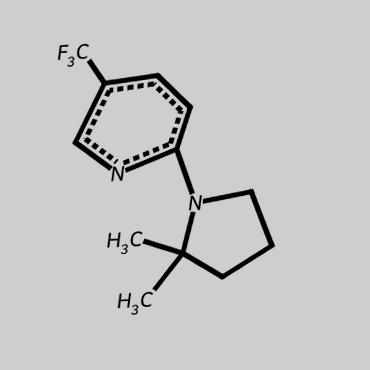 CC1(C)CCCN1c1ccc(C(F)(F)F)cn1